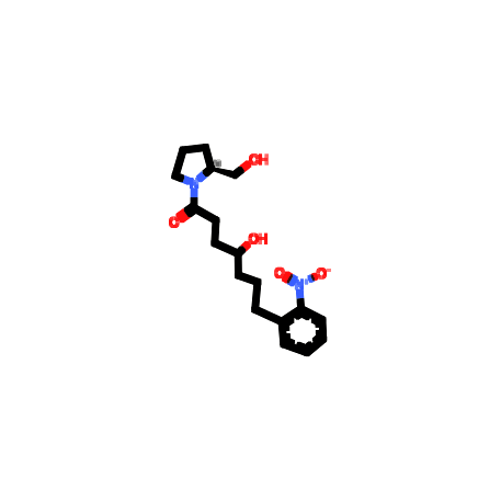 O=C(CCC(O)CCCc1ccccc1[N+](=O)[O-])N1CCC[C@H]1CO